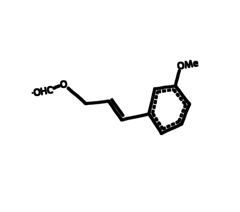 COc1cccc(C=CCO[C]=O)c1